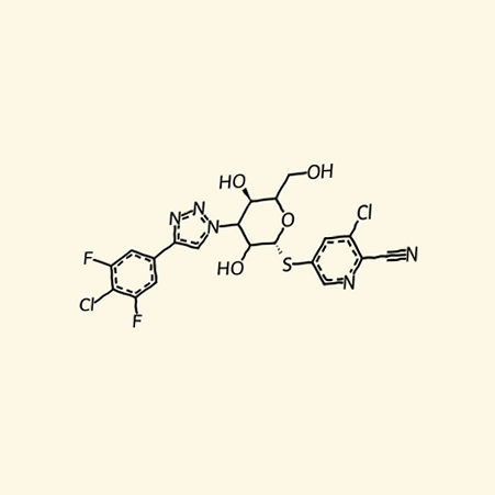 N#Cc1ncc(S[C@H]2OC(CO)[C@H](O)C(n3cc(-c4cc(F)c(Cl)c(F)c4)nn3)C2O)cc1Cl